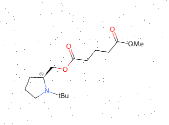 COC(=O)CCCC(=O)OC[C@@H]1CCCN1C(C)(C)C